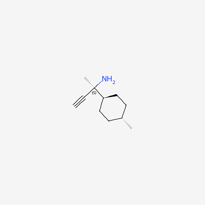 C#C[C@@](C)(N)[C@H]1CC[C@H](C)CC1